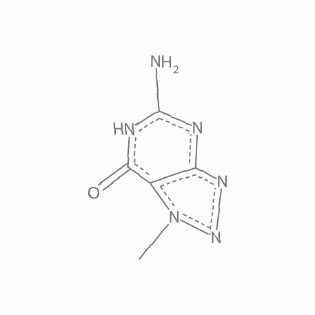 Cn1nnc2nc(N)[nH]c(=O)c21